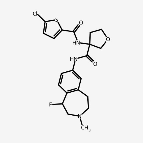 CN1CCc2cc(NC(=O)C3(NC(=O)c4ccc(Cl)s4)CCOC3)ccc2C(F)C1